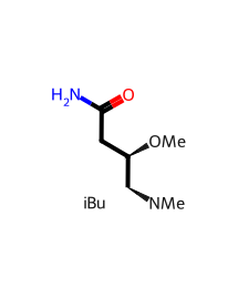 CC[C@H](C)[C@H](NC)[C@@H](CC(N)=O)OC